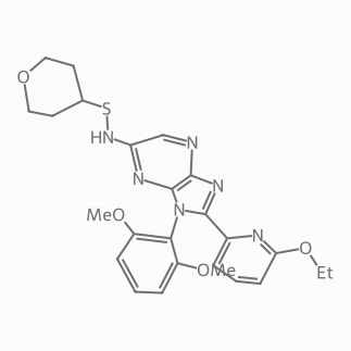 CCOc1cccc(-c2nc3ncc(NSC4CCOCC4)nc3n2-c2c(OC)cccc2OC)n1